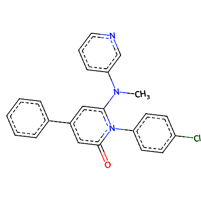 CN(c1cccnc1)c1cc(-c2ccccc2)cc(=O)n1-c1ccc(Cl)cc1